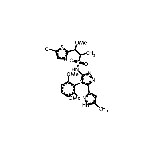 COc1cccc(OC)c1-n1c(NS(=O)(=O)C(C)C(OC)c2ncc(Cl)s2)nnc1-c1cc(C)[nH]n1